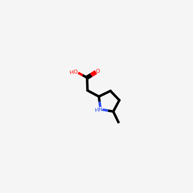 CC1CCC(CC(=O)O)N1